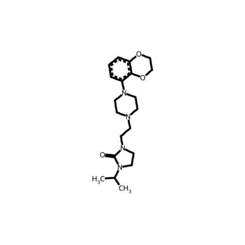 CC(C)N1CCN(CCN2CCN(c3cccc4c3OCCO4)CC2)C1=O